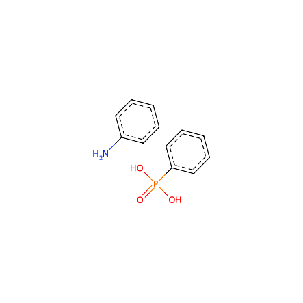 Nc1ccccc1.O=P(O)(O)c1ccccc1